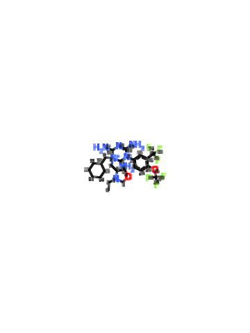 CCN1COCC1C[N+]1(CC2CCCCC2)C(N)N=C(N)N(c2ccc(OC(F)(F)F)c(C(F)(F)F)c2)C1N